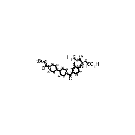 CN1Cc2cc(C(=O)N3CCC(C4CCN(C(=O)OC(C)(C)C)CC4)CC3)ccc2N[C@H](CC(=O)O)C1=O